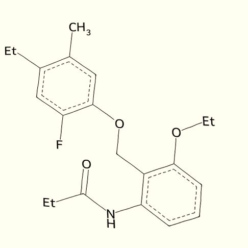 CCOc1cccc(NC(=O)CC)c1COc1cc(C)c(CC)cc1F